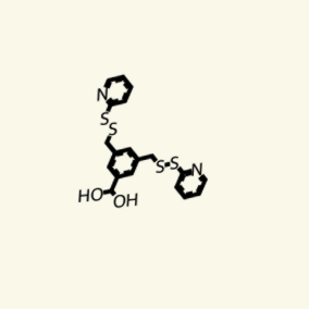 OC(O)c1cc(CSSc2ccccn2)cc(CSSc2ccccn2)c1